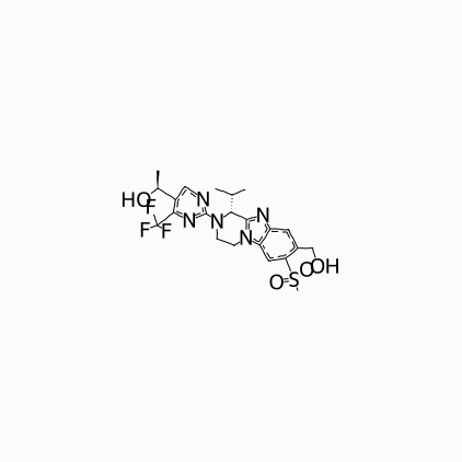 CC(C)[C@@H]1c2nc3cc(CO)c(S(C)(=O)=O)cc3n2CCN1c1ncc([C@H](C)O)c(C(F)(F)F)n1